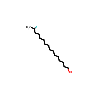 CC(F)CCCCCCCCCCCCCCO